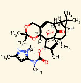 CC1=C[C@]23C(=O)[C@@H](C=C4COC(C)(C)O[C@H]4[C@]2(O)[C@H]1OC(=O)N(C)c1cc(C)nn1C)[C@H]1[C@@H](C[C@H]3C)C1(C)C